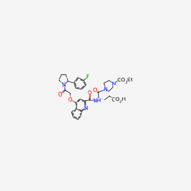 CCOC(=O)N1CCN(C(=O)[C@H](CCC(=O)O)NC(=O)c2cc(OCC(=O)N3CCCC3c3cccc(F)c3)c3ccccc3n2)CC1